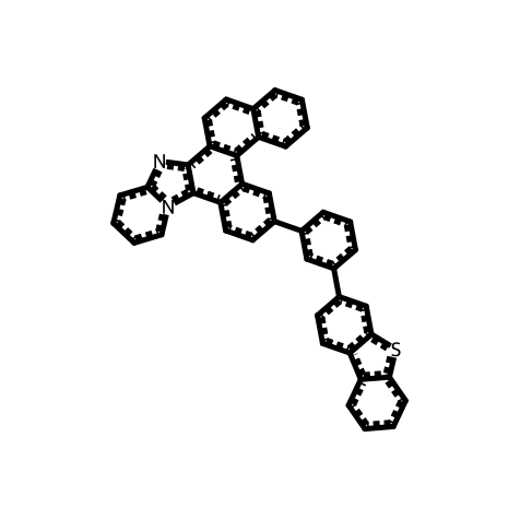 c1cc(-c2ccc3c(c2)sc2ccccc23)cc(-c2ccc3c(c2)c2c4ccccc4ccc2c2nc4ccccn4c32)c1